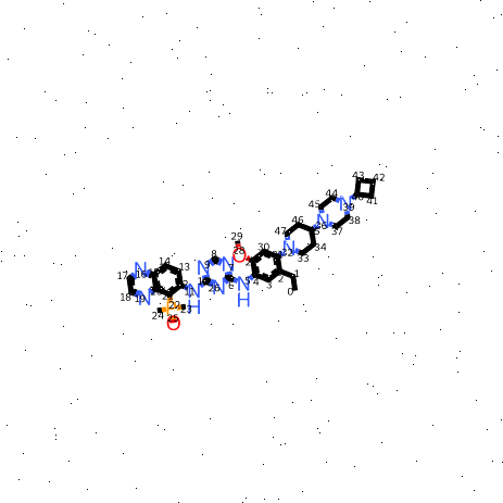 CCc1cc(Nc2ncnc(Nc3ccc4nccnc4c3P(C)(C)=O)n2)c(OC)cc1N1CCC(N2CCN(C3CCC3)CC2)CC1